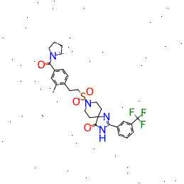 Cc1cc(C(=O)N2CCCC2)ccc1CCS(=O)(=O)N1CCC2(CC1)N=C(c1cccc(C(F)(F)F)c1)NC2=O